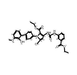 CCOC(=O)c1cccc(NC(=O)Nc2cc(Cl)n(-c3ccc(-c4cccc(OC)c4O)cc3)c2C(=O)OCC)c1